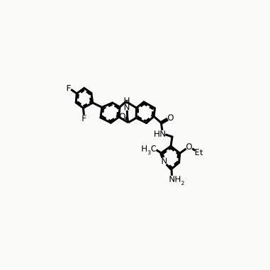 CCOc1cc(N)nc(C)c1CNC(=O)c1ccc2c(c1)C1C(=O)NC2c2cc(-c3ccc(F)cc3F)ccc21